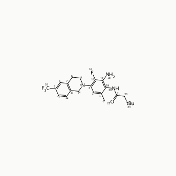 Cc1cc(N2CCc3cc(C(F)(F)F)ccc3C2)c(F)c(N)c1NC(=O)CC(C)(C)C